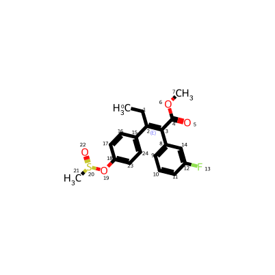 CC/C(=C(\C(=O)OC)c1cccc(F)c1)c1ccc(OS(C)=O)cc1